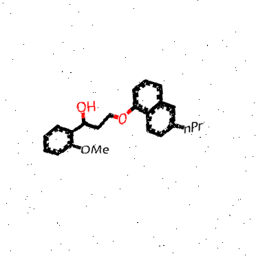 CCCc1ccc2c(OCCC(O)c3ccccc3OC)cccc2c1